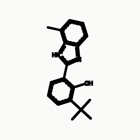 Cc1cccc2nc(-c3cccc(C(C)(C)C)c3O)[nH]c12